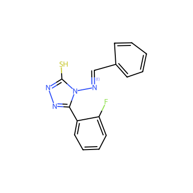 Fc1ccccc1-c1nnc(S)n1/N=C/c1ccccc1